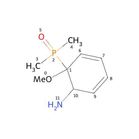 COC1(P(C)(C)=O)C=CC=CC1N